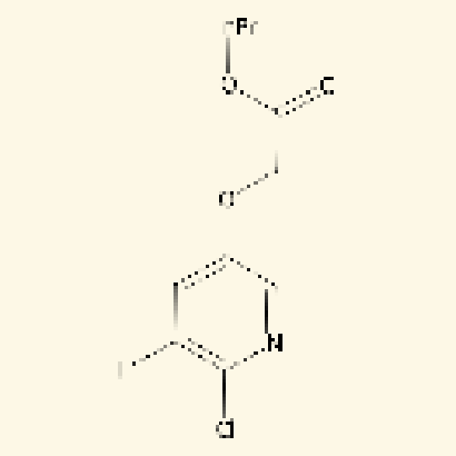 CCCOC(=O)COc1cnc(Cl)c(F)c1